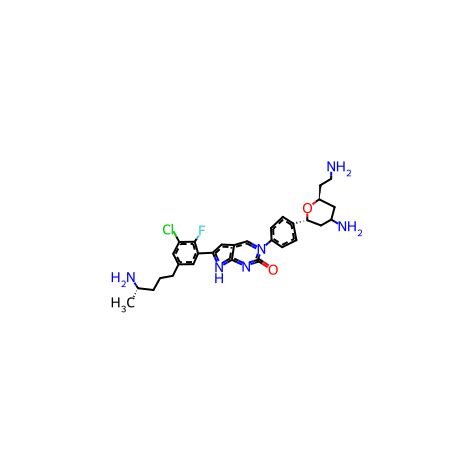 C[C@H](N)CCCc1cc(Cl)c(F)c(-c2cc3cn(-c4ccc([C@H]5CC(N)C[C@H](CCN)O5)cc4)c(=O)nc3[nH]2)c1